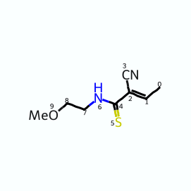 C/C=C(\C#N)C(=S)NCCOC